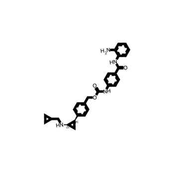 Nc1ccccc1NC(=O)c1ccc(NC(=O)OCc2ccc([C@H]3C[C@@H]3NCC3CC3)cc2)cc1